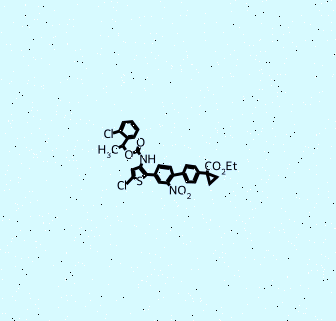 CCOC(=O)C1(c2ccc(-c3ccc(-c4sc(Cl)cc4NC(=O)OC(C)c4ccccc4Cl)cc3[N+](=O)[O-])cc2)CC1